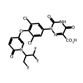 O=C(O)c1nn(-c2cc(Cl)c(Oc3ccc(=O)n(C(CF)C(F)F)c3)c(Cl)c2)c(=O)[nH]c1=O